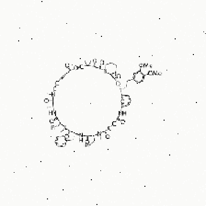 COc1ccc(CC[C@H]2OC(=O)[C@@H]3CCCCN3C(=O)C(=O)C(C)(C)COC(=O)/C=C\CCN(C)C(=O)[C@@H](C)NC(=O)[C@H](C(C)C)N(C)C(=O)[C@@H](Cc3ccccc3)NC(=O)[C@H](CC(C)C)N(C)C(=O)CCC(=O)Nc3cccc2c3)cc1OC